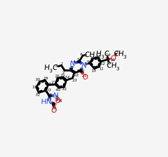 CCCc1nc(CC)n(-c2ccc(C(C)(C)OC)cc2)c(=O)c1Cc1ccc(-c2ccccc2-c2noc(=O)[nH]2)cc1